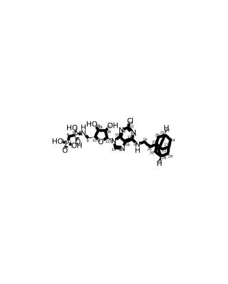 O=P(O)(O)CP(=O)(O)NC[C@H]1O[C@@H](n2cnc3c(NCCC45CC6C[C@H](C4)C[C@H](C6)C5)nc(Cl)nc32)C(O)C1O